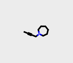 CC#CCN1CC[CH]CCC1